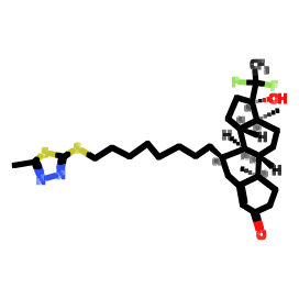 Cc1nnc(SCCCCCCCC[C@@H]2CC3=CC(=O)CC[C@]3(C)[C@H]3CC[C@@]4(C)[C@@H](CC[C@@]4(O)C(F)(F)C(F)(F)F)[C@H]23)s1